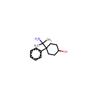 CC(C)(N)C1(c2ccccc2)CCC(O)CC1